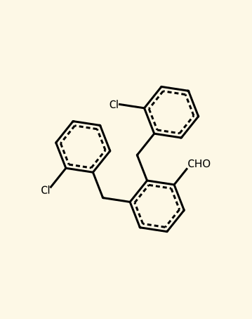 O=Cc1cccc(Cc2ccccc2Cl)c1Cc1ccccc1Cl